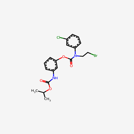 CC(C)OC(=O)Nc1cccc(OC(=O)N(CCBr)c2cccc(Cl)c2)c1